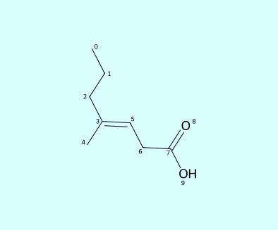 CCCC(C)=CCC(=O)O